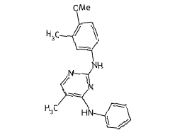 COc1ccc(Nc2ncc(C)c(Nc3ccccc3)n2)cc1C